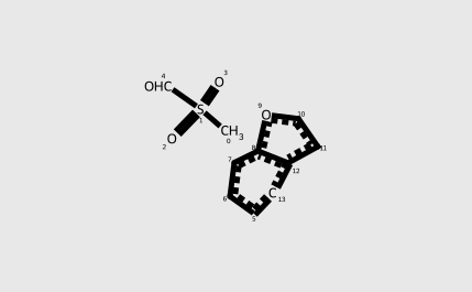 CS(=O)(=O)C=O.c1ccc2occc2c1